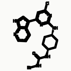 CCNC(=O)N[C@H]1CC[C@H](Nc2nc(Cl)cc(-c3c[nH]c4ncccc34)n2)CC1